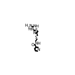 N=C(N)Nc1nc(CSCCNC(=O)c2cccnc2)cs1